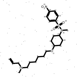 C=CCN(C)CCCCCCOC1CCC(N(C)S(=O)(=O)c2ccc([N+](=O)[O-])cc2)CC1